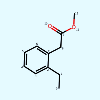 CCc1ccccc1CC(=O)OC